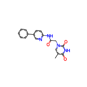 Cc1cn(CC(=O)Nc2ccc(-c3ccccc3)cn2)c(=O)[nH]c1=O